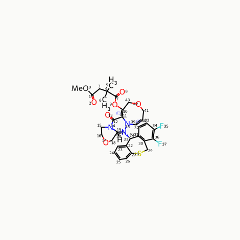 COC(=O)CC(C)(C)C(=O)O/C1=C2\C(=O)N3CCOC[C@H]3N([C@@H]3c4ccccc4SCc4c3ccc(F)c4F)N2/C=C\COC1